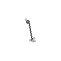 O=C(O)C(Cl)CCCCCCCCCCCCc1ccc(F)cc1